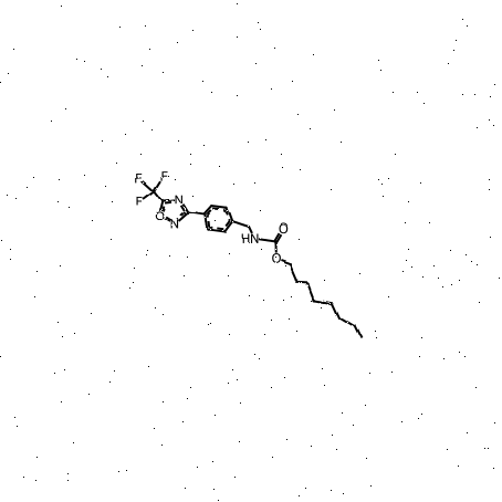 CCCCCCCCOC(=O)NCc1ccc(-c2noc(C(F)(F)F)n2)cc1